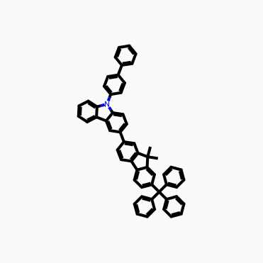 CC1(C)c2cc(-c3ccc4c(c3)c3ccccc3n4-c3ccc(-c4ccccc4)cc3)ccc2-c2ccc(C(c3ccccc3)(c3ccccc3)c3ccccc3)cc21